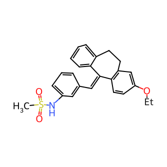 CCOc1ccc2c(c1)CCc1ccccc1C2=Cc1cccc(NS(C)(=O)=O)c1